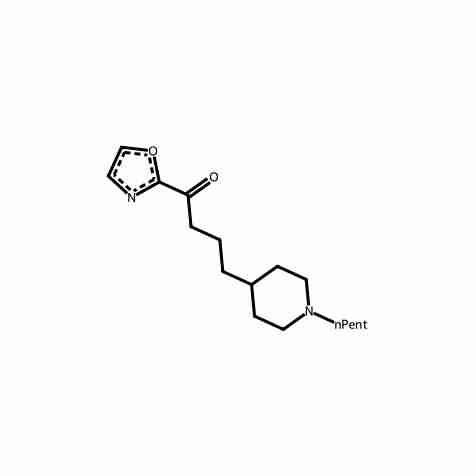 CCCCCN1CCC(CCCC(=O)c2ncco2)CC1